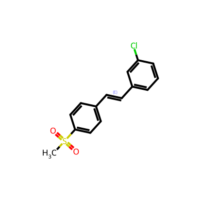 CS(=O)(=O)c1ccc(/C=C/c2cccc(Cl)c2)cc1